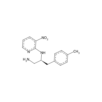 Cc1ccc(C[C@@H](CN)Nc2ncccc2[N+](=O)[O-])cc1